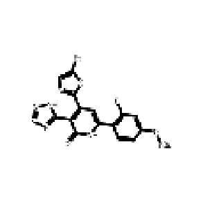 CCCCOc1ccc(-c2cc(-c3ncc(CC)s3)c(-c3nnn[nH]3)c(=O)[nH]2)c(F)c1